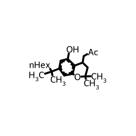 CCCCCCC(C)(C)c1cc(O)c2c(c1)OC(C)(C)CC2CC(C)=O